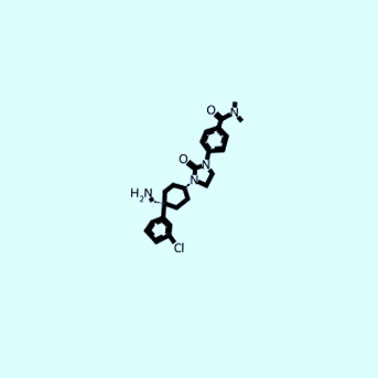 CN(C)C(=O)c1ccc(N2CCN([C@H]3CC[C@](CN)(c4cccc(Cl)c4)CC3)C2=O)cc1